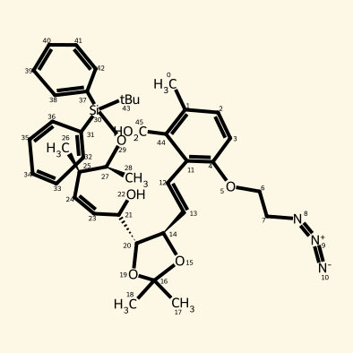 Cc1ccc(OCCN=[N+]=[N-])c(/C=C/[C@H]2OC(C)(C)O[C@@H]2C(O)/C=C\[C@@H](C)[C@H](C)O[Si](c2ccccc2)(c2ccccc2)C(C)(C)C)c1C(=O)O